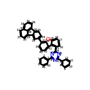 c1ccc(-c2nc(-c3ccccc3)nc(-c3cccc4oc5c(-c6ccc7c(c6)-c6cccc8cccc-7c68)cccc5c34)n2)cc1